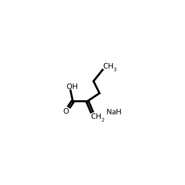 C=C(CCC)C(=O)O.[NaH]